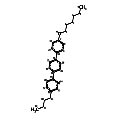 CCCCCCOc1ccc(-c2ccc(-c3ccc(CCCC)cn3)cc2)cc1